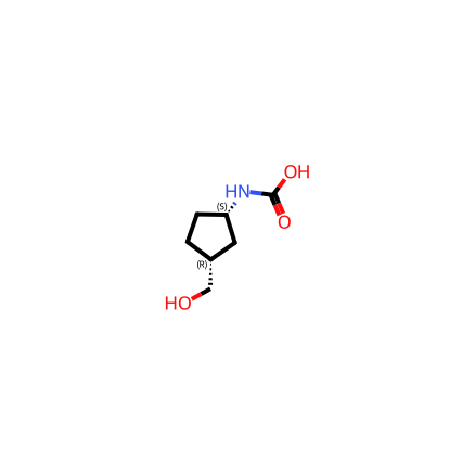 O=C(O)N[C@H]1CC[C@@H](CO)C1